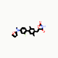 Cc1cc(-c2ccc(N(C)c3ccco3)cc2F)c(C)cc1/C=C1\OC(=O)NC1=O